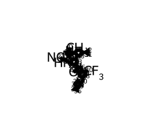 Cn1cnnc1-c1ccc(C2CC2)cc1-c1cc(NCCC#N)cc(N2Cc3c(cc(CN4CCC5(CC5)C4)cc3C(F)(F)F)C2=O)c1